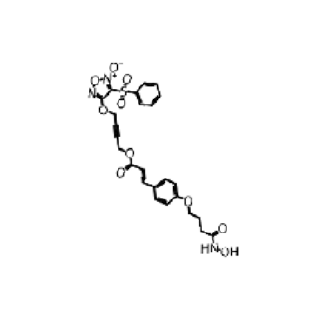 O=C(CCCOc1ccc(C=CC(=O)OCC#CCOc2no[n+]([O-])c2S(=O)(=O)c2ccccc2)cc1)NO